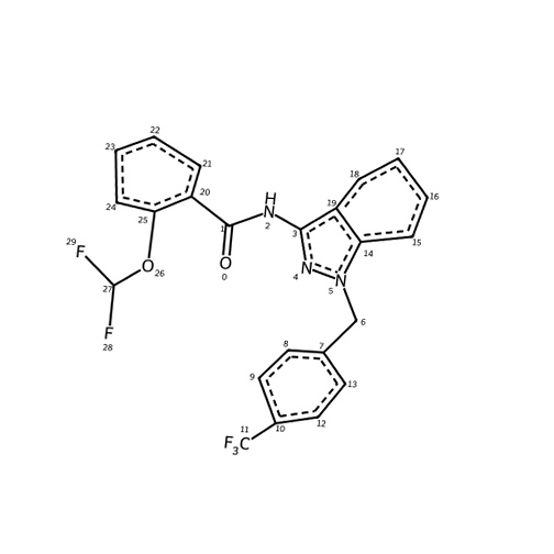 O=C(Nc1nn(Cc2ccc(C(F)(F)F)cc2)c2ccccc12)c1ccccc1OC(F)F